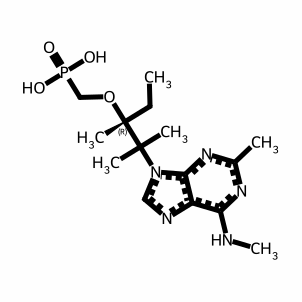 CC[C@@](C)(OCP(=O)(O)O)C(C)(C)n1cnc2c(NC)nc(C)nc21